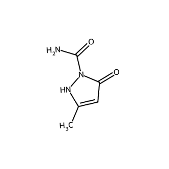 Cc1cc(=O)n(C(N)=O)[nH]1